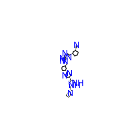 N#Cc1cccc(-c2cnc3nnn(Cc4cccc(-c5ncc(/C(C=N)=C/NCCN6CCCC6)cn5)c4)c3n2)c1